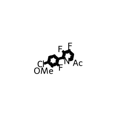 COc1c(Cl)ccc(-c2nc(C(C)=O)cc(F)c2F)c1F